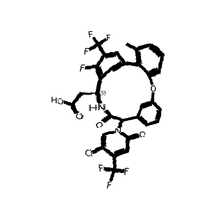 Cc1cccc2c1-c1cc(c(F)c(C(F)(F)F)c1)[C@H](CC(=O)O)NC(=O)C(n1cc(Cl)c(C(F)(F)F)cc1=O)c1cccc(c1)O2